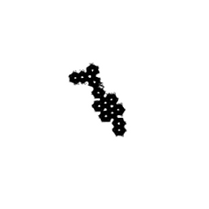 c1ccc2cc(-c3c4ccccc4c(-c4c5ccccc5c(-c5ccc6c(c5)sc5cc7c8ccccc8c8cc9ccccc9cc8c7cc56)c5ccccc45)c4ccccc34)ccc2c1